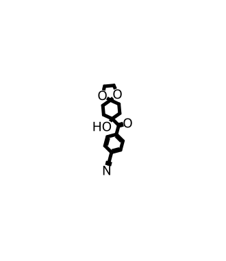 N#Cc1ccc(C(=O)C2(O)CCC3(CC2)OCCO3)cc1